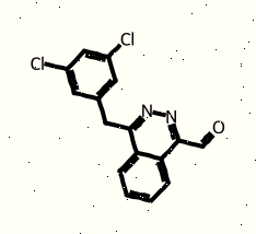 O=Cc1nnc(Cc2cc(Cl)cc(Cl)c2)c2ccccc12